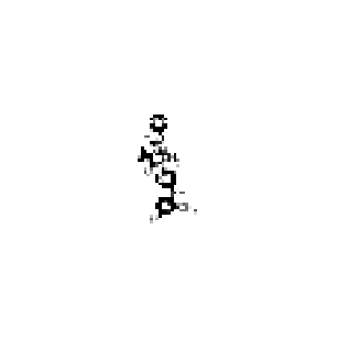 Cc1cc(Br)ccc1Nc1ccc(N(C)C(=O)C2(NC(=O)Oc3cncnc3)CC2)nc1